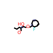 CCC/C(C=O)=C(\O)COC/C1=C/C=C\CC=CC1F